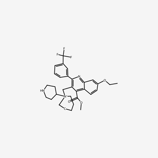 CCOc1ccc2c(C(=O)OC)c(C[N+]3(C4CCNCC4)CCCCC3)c(-c3cccc(C(F)(F)F)c3)nc2c1